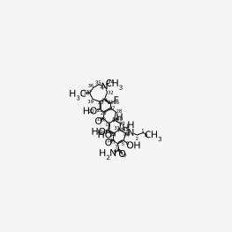 CCCN[C@@H]1C(O)=C(C(N)=O)C(=O)[C@@]2(O)C(O)=C3C(=O)c4c(O)c5c(c(F)c4C[C@H]3C[C@@H]12)CN(C)CCC(C)C5